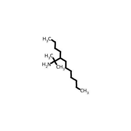 CCCCCCCC(CCCC)C(C)(C)N